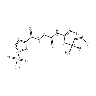 CC/C=C\C(C)(N)S/C(=N\CC)NC(=O)CNC(=O)c1ccn(S(C)(=O)=O)c1